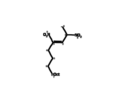 [CH2]C(C=C(CCCCCCCCCCC)[N+](=O)[O-])[N+](=O)[O-]